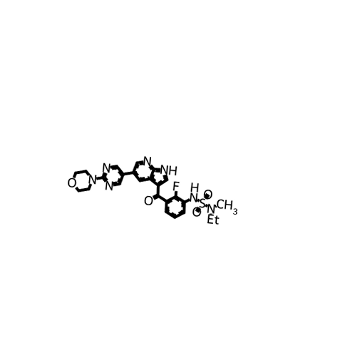 CCN(C)S(=O)(=O)Nc1cccc(C(=O)c2c[nH]c3ncc(-c4cnc(N5CCOCC5)nc4)cc23)c1F